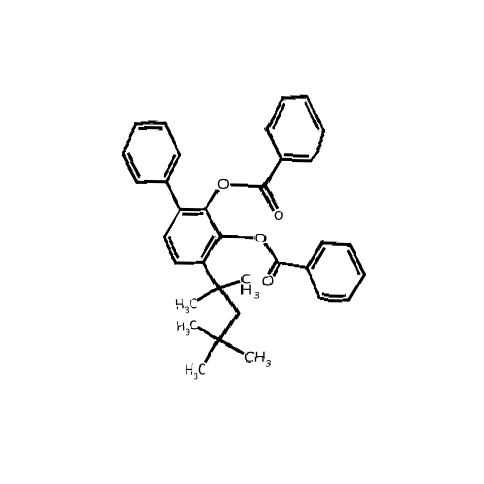 CC(C)(C)CC(C)(C)c1ccc(-c2ccccc2)c(OC(=O)c2ccccc2)c1OC(=O)c1ccccc1